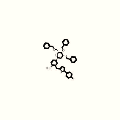 Cc1ccc([C@H]2C[C@@H](OCc3ccccc3)[C@H](OCc3ccccc3)[C@@H](COCc3ccccc3)O2)cc1Cc1ccc(-c2ccc(F)cc2)s1